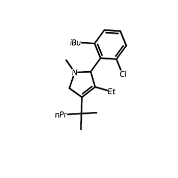 CCCC(C)(C)C1=C(CC)C(c2c(Cl)cccc2C(C)CC)N(C)C1